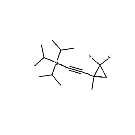 CC(C)[Si](C#CC1(C)CC1(F)F)(C(C)C)C(C)C